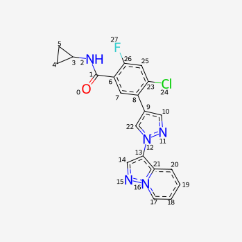 O=C(NC1CC1)c1cc(-c2cnn(-c3cnn4ccccc34)c2)c(Cl)cc1F